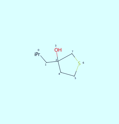 CC(C)CC1(O)CCSC1